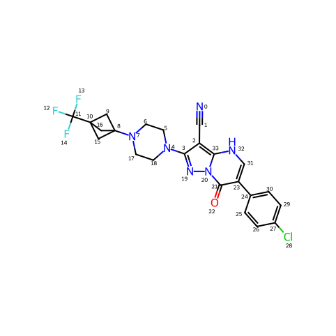 N#Cc1c(N2CCN(C34CC(C(F)(F)F)(C3)C4)CC2)nn2c(=O)c(-c3ccc(Cl)cc3)c[nH]c12